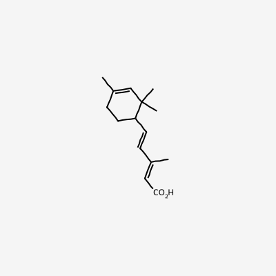 CC1=CC(C)(C)C(/C=C/C(C)=C/C(=O)O)CC1